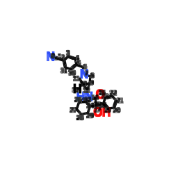 N#Cc1ccc(CN2CC3[C@H](C2)[C@H]3NC(=O)C(O)(c2ccccc2)C2CCCCC2)cc1